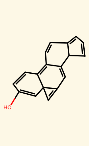 OC1=CC23C=C2C=C2C(=C3C=C1)C=CC1=CC=CC12